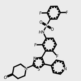 O=C1CCN(c2nc(-c3c(F)ccc(NS(=O)(=O)c4cc(F)ccc4F)c3F)c(-c3ccncc3)s2)CC1